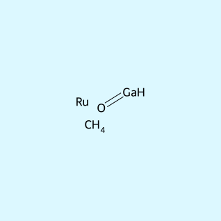 C.[O]=[GaH].[Ru]